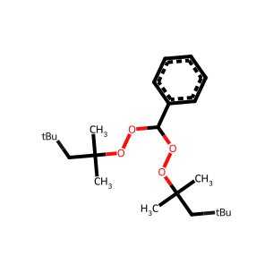 CC(C)(C)CC(C)(C)OOC(OOC(C)(C)CC(C)(C)C)c1ccccc1